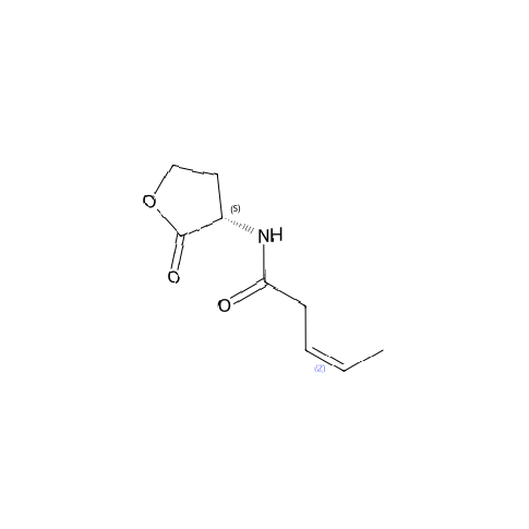 C/C=C\CC(=O)N[C@H]1CCOC1=O